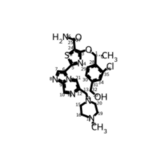 C[C@@H](Oc1nc(-c2cnc3cnc(CN4CCN(C)CC4)cn23)sc1C(N)=O)c1ccc(CO)cc1Cl